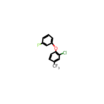 Fc1cccc(Oc2ccc(C(F)(F)F)cc2Cl)c1